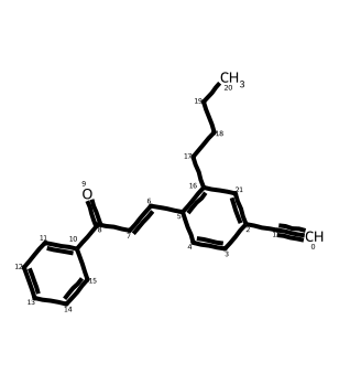 C#Cc1ccc(C=CC(=O)c2ccccc2)c(CCCC)c1